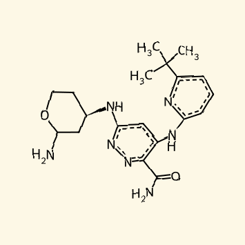 CC(C)(C)c1cccc(Nc2cc(N[C@@H]3CCOC(N)C3)nnc2C(N)=O)n1